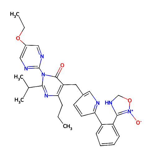 CCCc1nc(C(C)C)n(-c2ncc(OCC)cn2)c(=O)c1Cc1ccc(-c2ccccc2C2=[N+]([O-])OCN2)nc1